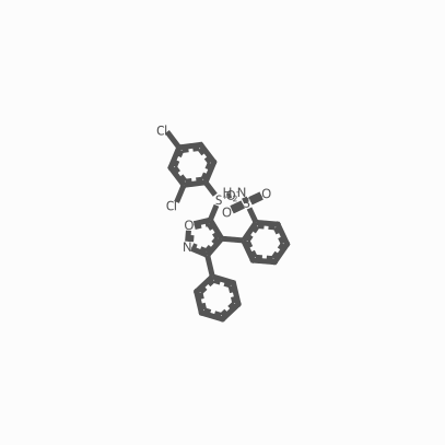 NS(=O)(=O)c1ccccc1-c1c(-c2ccccc2)noc1[S+]([O-])c1ccc(Cl)cc1Cl